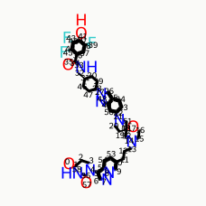 O=C1CCN(c2cnn3cc(CCCN4CCO[C@]5(CCN(c6ccc7cn([C@H]8CC[C@H](CNC(=O)c9cc(F)c(O)c(F)c9F)CC8)nc7c6)C5)C4)ccc23)C(=O)N1